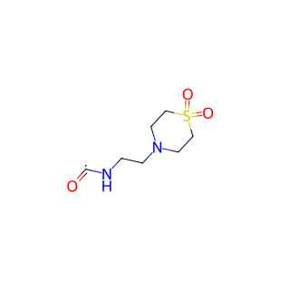 O=[C]NCCN1CCS(=O)(=O)CC1